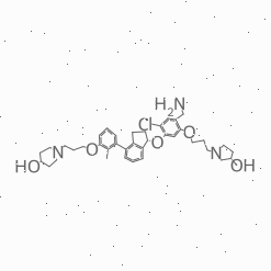 Cc1c(OCCCN2CCC(O)CC2)cccc1-c1cccc2c1CC[C@@H]2Oc1cc(OCCCN2CC[C@@H](O)C2)c(CN)cc1Cl